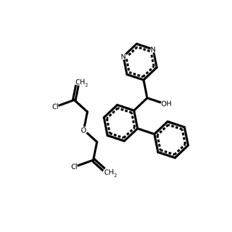 C=C(Cl)COCC(=C)Cl.OC(c1cncnc1)c1ccccc1-c1ccccc1